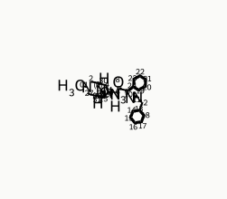 CN1C[C@H]2C[C@@H](NC(=O)c3nn(Cc4ccccc4)c4ccccc34)C[C@@H](C1)N2C